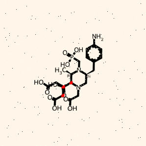 C[C@H](CN(CC(=O)O)CC(=O)O)N(CP(=O)(O)O)[C@@H](Cc1ccc(N)cc1)CN(CC(=O)O)CC(=O)O